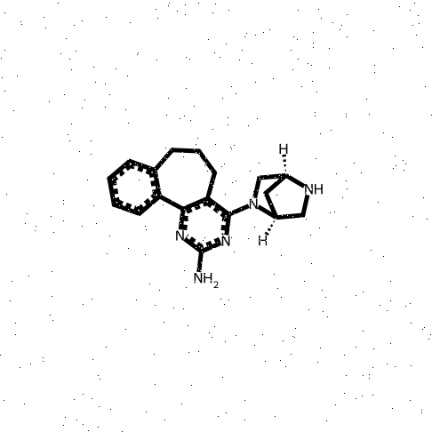 Nc1nc2c(c(N3C[C@@H]4C[C@H]3CN4)n1)CCCc1ccccc1-2